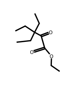 CCOC(=O)C(=O)C(CC)(CC)CC